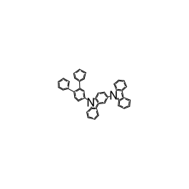 c1ccc(-c2ccc(-n3c4ccccc4c4cc(-n5c6ccccc6c6ccccc65)ccc43)cc2-c2ccccc2)cc1